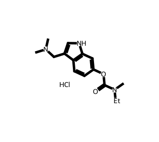 CCN(C)C(=O)Oc1ccc2c(CN(C)C)c[nH]c2c1.Cl